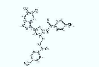 Cc1ccc(C(=O)OC[C@H]2O[C@@H](n3cnc4cc(Cl)c(Cl)cc43)C[C@@H]2OC(=O)c2ccc(C)cc2)cc1